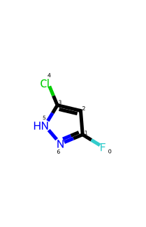 Fc1cc(Cl)[nH]n1